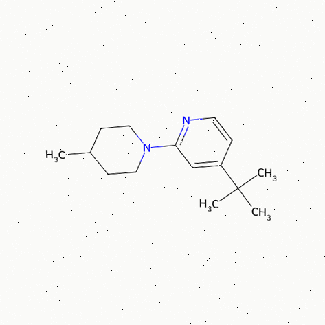 CC1CCN(c2cc(C(C)(C)C)ccn2)CC1